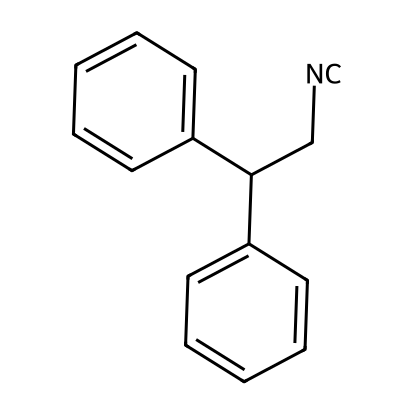 [C-]#[N+]CC(c1ccccc1)c1ccccc1